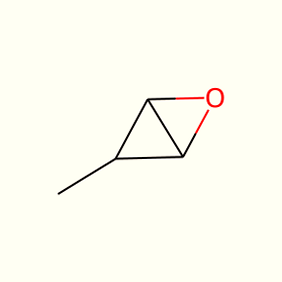 CC1C2OC12